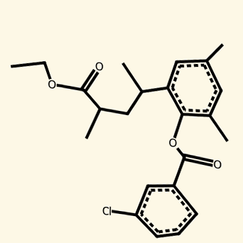 CCOC(=O)C(C)CC(C)c1cc(C)cc(C)c1OC(=O)c1cccc(Cl)c1